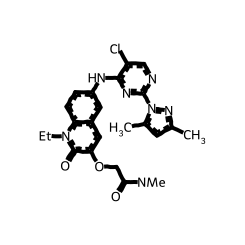 CCn1c(=O)c(OCC(=O)NC)cc2cc(Nc3nc(-n4nc(C)cc4C)ncc3Cl)ccc21